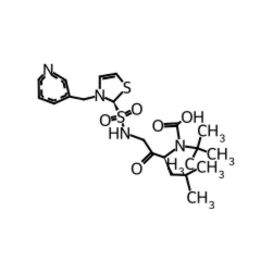 CC(C)C[C@@H](C(=O)CNS(=O)(=O)[C@@H]1SC=CN1Cc1cccnc1)N(C(=O)O)C(C)(C)C